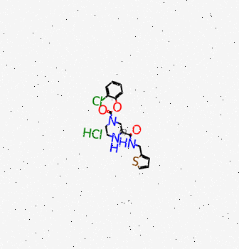 Cl.O=C(NCc1cccs1)[C@@H]1CN(C(=O)Oc2ccccc2Cl)CCN1